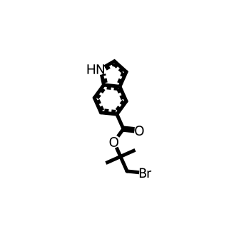 CC(C)(CBr)OC(=O)c1ccc2[nH]ccc2c1